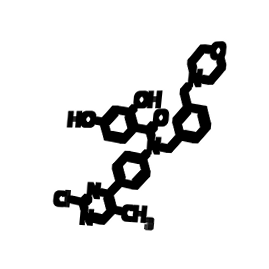 Cc1cnc(Cl)nc1-c1ccc(N(Cc2cccc(CN3CCOCC3)c2)C(=O)c2ccc(O)cc2O)cc1